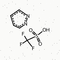 O=S(=O)(O)C(F)(F)F.c1ccnnc1